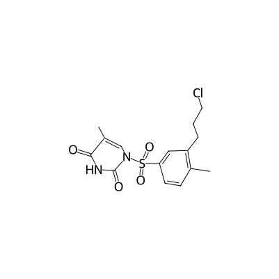 Cc1ccc(S(=O)(=O)n2cc(C)c(=O)[nH]c2=O)cc1CCCCl